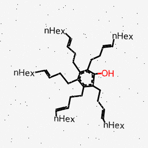 CCCCCC/C=C/CCc1c(O)c(CC/C=C/CCCCCC)c(CC/C=C/CCCCCC)c(CC/C=C/CCCCCC)c1CC/C=C/CCCCCC